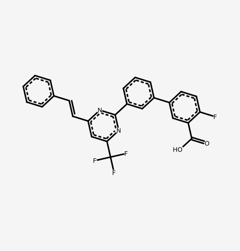 O=C(O)c1cc(-c2cccc(-c3nc(C=Cc4ccccc4)cc(C(F)(F)F)n3)c2)ccc1F